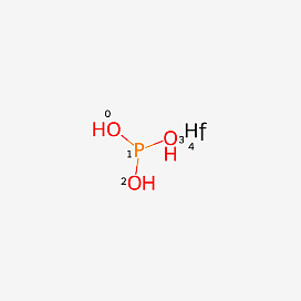 OP(O)O.[Hf]